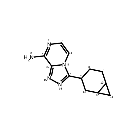 Nc1nccn2c(C3CCC4CC4C3)nnc12